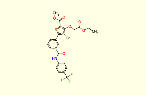 CCOC(=O)COc1c(C(=O)OC)sc(-c2cccc(C(=O)Nc3ccc(C(F)(F)F)cc3)c2)c1Br